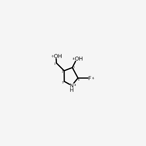 OCC1CNC(F)C1O